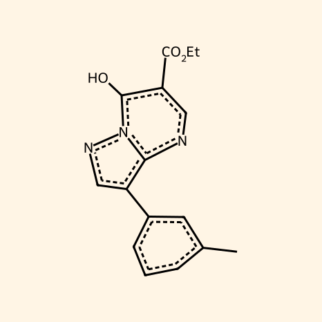 CCOC(=O)c1cnc2c(-c3cccc(C)c3)cnn2c1O